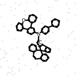 C1=Cc2ccccc2C2(c3ccccc31)c1ccccc1-c1cc(N(c3ccc(-c4ccccc4)cc3)c3ccc4c(c3)-c3ccccc3Oc3ccccc3-4)ccc12